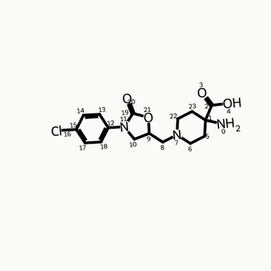 NC1(C(=O)O)CCN(CC2CN(c3ccc(Cl)cc3)C(=O)O2)CC1